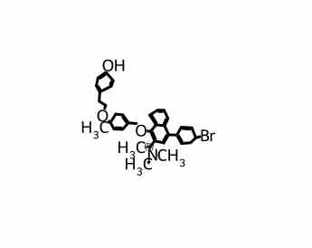 C[C@H](c1cc(C2=CCC(Br)C=C2)c2ccccc2c1OCC1=CCC(C)(OCCc2ccc(O)cc2)C=C1)N(C)C